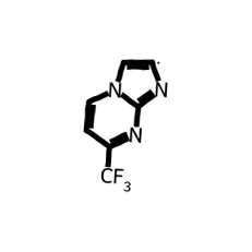 FC(F)(F)c1ccn2c[c]nc2n1